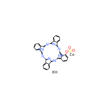 O=[S](=O)([Co])Oc1cccc2c3nc4nc(nc5[nH]c(nc6nc(nc([nH]3)c12)-c1ccccc1-6)c1ccccc51)-c1ccccc1-4.[KH]